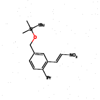 CC(C)c1ccc(CO[Si](C)(C)C(C)(C)C)cc1/C=C/[N+](=O)[O-]